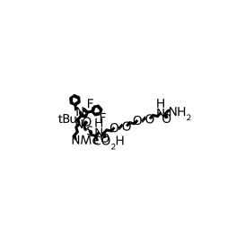 CNCCCN(C(=O)CSCC(NC(=O)CCOCCOCCOCCOCCNC(=O)CN)C(=O)O)C(c1cc(-c2cc(F)ccc2F)cn1Cc1ccccc1)C(C)(C)C